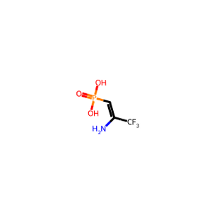 NC(=CP(=O)(O)O)C(F)(F)F